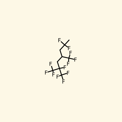 CC(F)(F)CC(CC(F)(C(F)(F)F)C(F)(F)F)C(F)(F)F